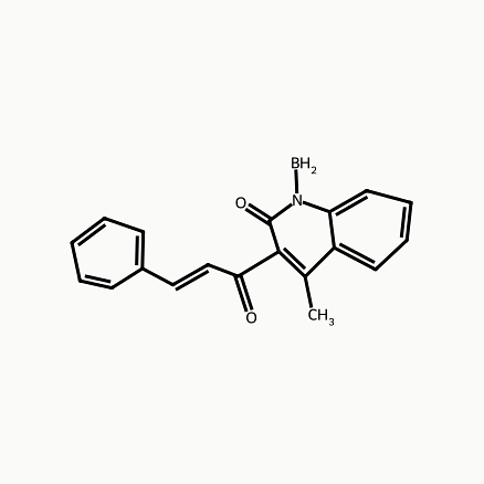 Bn1c(=O)c(C(=O)/C=C/c2ccccc2)c(C)c2ccccc21